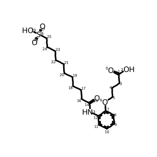 O=C(O)CCCOc1ccccc1NC(=O)CCCCCCCCCCS(=O)(=O)O